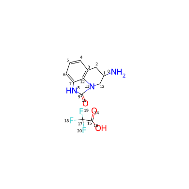 NC1Cc2cccc3[nH]c(=O)n(c23)C1.O=C(O)C(F)(F)F